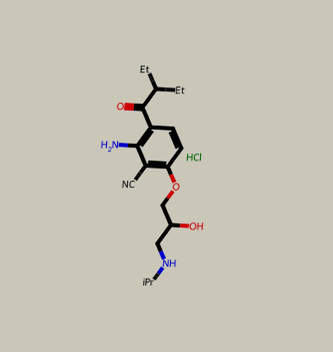 CCC(CC)C(=O)c1ccc(OCC(O)CNC(C)C)c(C#N)c1N.Cl